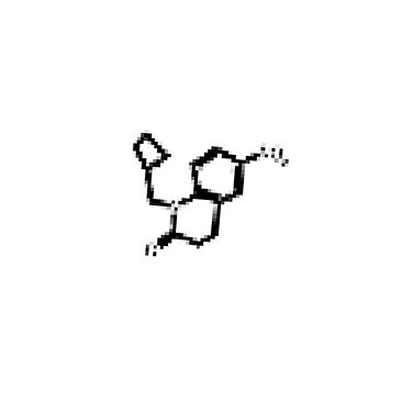 O=C1CCc2cc([N+](=O)[O-])ccc2N1CC1CCC1